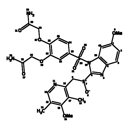 COc1ccc2nc([S+]([O-])Cc3ncc(C)c(OC)c3C)n(S(=O)(=O)c3ccc(OCC(N)=O)c(OCC(N)=O)c3)c2c1